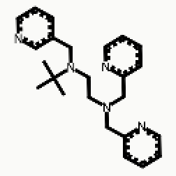 CC(C)(C)N(CCN(Cc1ccccn1)Cc1ccccn1)Cc1cccnc1